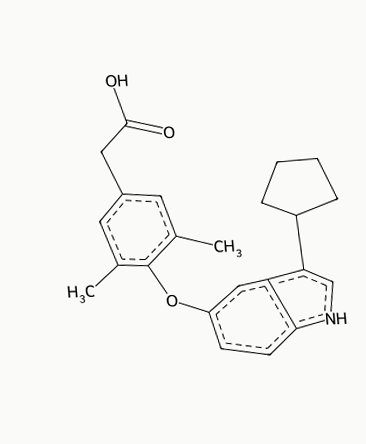 Cc1cc(CC(=O)O)cc(C)c1Oc1ccc2[nH]cc(C3CCCC3)c2c1